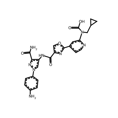 NC(=O)c1nn(-c2ccc(N)cc2)cc1NC(=O)c1coc(-c2ccnc(N(CC3CC3)C(=O)O)c2)n1